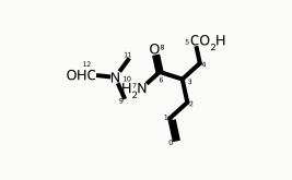 C=CCC(CC(=O)O)C(N)=O.CN(C)C=O